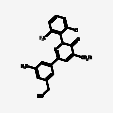 CCOC(=O)c1cc(-c2cc(C)cc(CO)c2)nn(-c2c(Cl)cccc2C(F)(F)F)c1=O